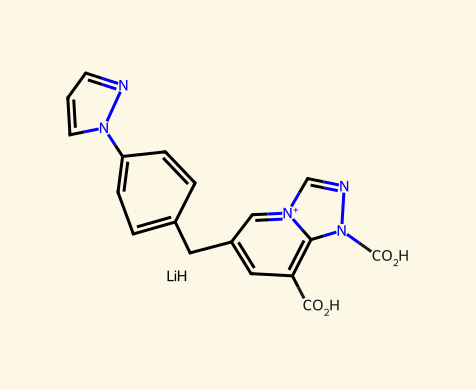 O=C(O)c1cc(Cc2ccc(-n3cccn3)cc2)c[n+]2cnn(C(=O)O)c12.[LiH]